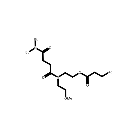 CCN(CC)C(=O)CCC(=O)N(CCOC)CCOC(=O)CCC(C)=O